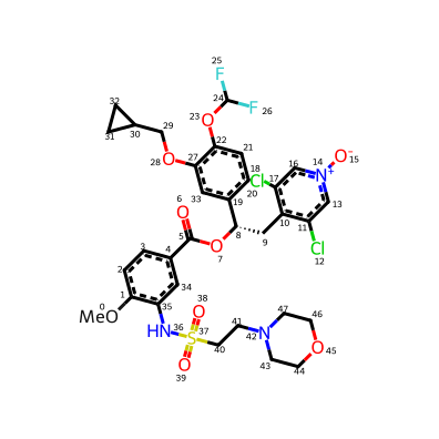 COc1ccc(C(=O)O[C@@H](Cc2c(Cl)c[n+]([O-])cc2Cl)c2ccc(OC(F)F)c(OCC3CC3)c2)cc1NS(=O)(=O)CCN1CCOCC1